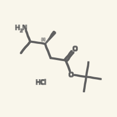 CC(N)[C@@H](C)CC(=O)OC(C)(C)C.Cl